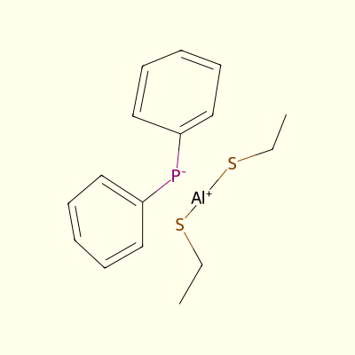 CC[S][Al+][S]CC.c1ccc([P-]c2ccccc2)cc1